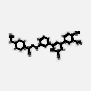 Cc1cc(-c2cc(-c3cccc(OCC(=O)N4CCC(CO)CC4)c3)[nH]c(=O)n2)ccc1O